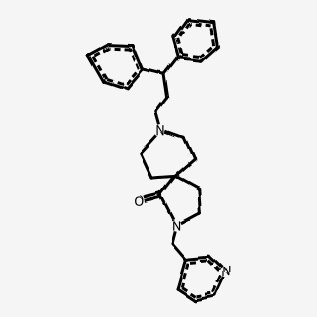 O=C1N(Cc2cccnc2)CCC12CCN(CCC(c1ccccc1)c1ccccc1)CC2